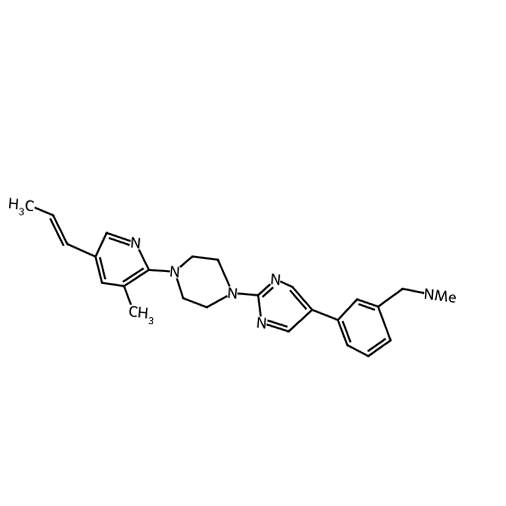 C/C=C/c1cnc(N2CCN(c3ncc(-c4cccc(CNC)c4)cn3)CC2)c(C)c1